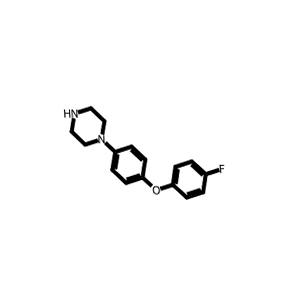 Fc1ccc(Oc2ccc(N3CCNCC3)cc2)cc1